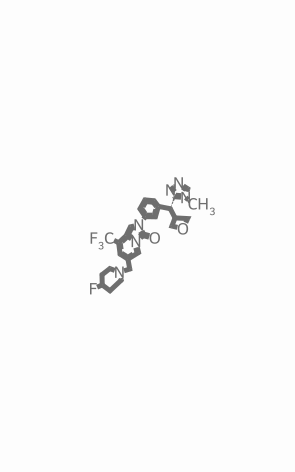 Cn1cnnc1[C@@H](c1cccc(-n2cc3c(C(F)(F)F)cc(CN4CCC(F)CC4)cn3c2=O)c1)C1COC1